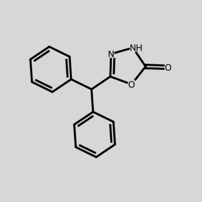 O=c1[nH]nc(C(c2ccccc2)c2ccccc2)o1